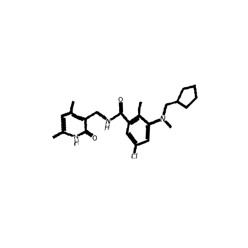 Cc1cc(C)c(CNC(=O)c2cc(Cl)cc(N(C)CC3CCCC3)c2C)c(=O)[nH]1